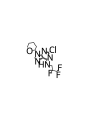 FC(F)C(F)CNc1nc(Cl)nc2c1ncn2C1CCCCO1